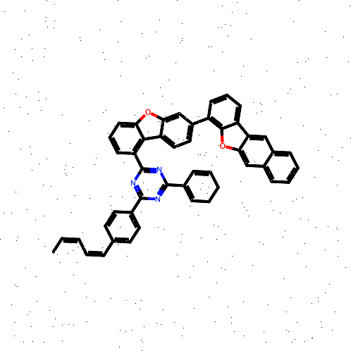 C/C=C\C=C/c1ccc(-c2nc(C3=CCCC=C3)nc(-c3cccc4oc5cc(-c6cccc7c6oc6cc8ccccc8cc67)ccc5c34)n2)cc1